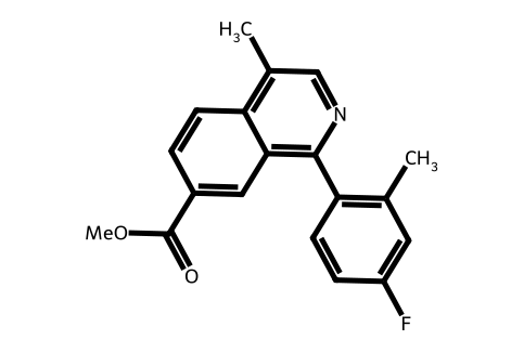 COC(=O)c1ccc2c(C)cnc(-c3ccc(F)cc3C)c2c1